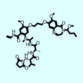 C=CNC(=O)c1cc(OC)c(OCCCOc2cc3c(cc2OC)C(=O)N(C(CCC)OC)CC=N3)cc1N(C)C(C)NC(=O)[C@H](C)NC(=O)[C@@H](NN1C(=O)CCC1=O)C(C)C